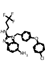 Nc1ccc2nc(NCCC(F)(F)F)n(Cc3ccc(Oc4ccc(Cl)cc4)cc3)c2c1